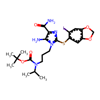 CC(C)N(CCCn1c(Sc2cc3c(cc2I)OCO3)nc(C(N)=O)c1N)C(=O)OC(C)(C)C